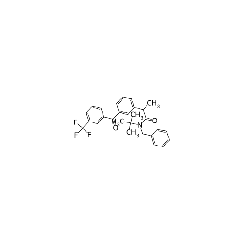 CC(C(=O)N(Cc1ccccc1)C(C)(C)C)c1cccc(C(=O)c2cccc(C(F)(F)F)c2)c1